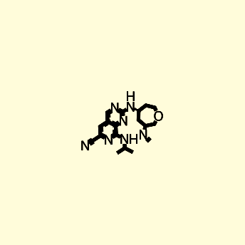 C=NC1COCC[C@H](Nc2ncc3cc(C#N)nc(NC(C)C)c3n2)C1